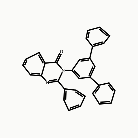 O=c1c2ccccc2nc(-c2ccccc2)n1-c1cc(-c2ccccc2)cc(-c2ccccc2)c1